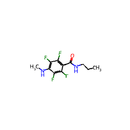 CCCNC(=O)c1c(F)c(F)c(NC)c(F)c1F